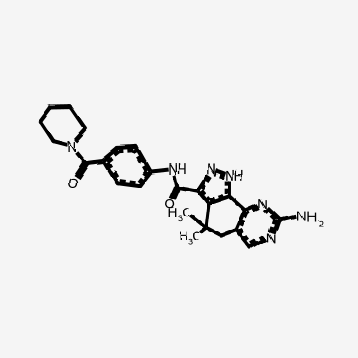 CC1(C)Cc2cnc(N)nc2-c2[nH]nc(C(=O)Nc3ccc(C(=O)N4CCCCC4)cc3)c21